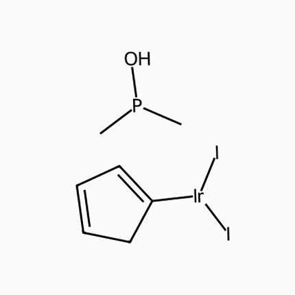 CP(C)O.[I][Ir]([I])[C]1=CC=CC1